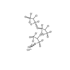 O=P([O-])([O-])C(Cl)P(=O)([O-])[O-].O=P([O-])([O-])C(Cl)P(=O)([O-])[O-].O=P([O-])([O-])C(Cl)P(=O)([O-])[O-].[Ce+3].[Ce+3].[Ce+3].[Ce+3]